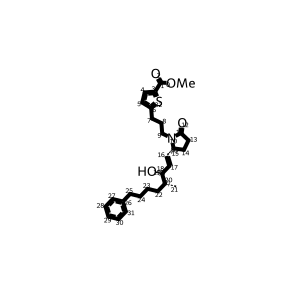 COC(=O)c1ccc(CCCN2C(=O)CC[C@@H]2C=C[C@@H](O)[C@H](C)CCCCc2ccccc2)s1